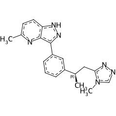 Cc1ccc2[nH]nc(-c3cccc([C@H](C)Cc4nncn4C)c3)c2n1